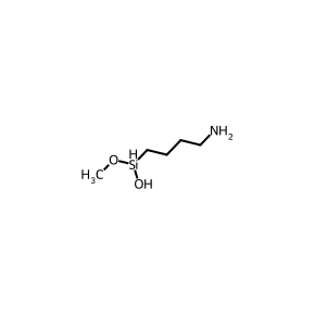 CO[SiH](O)CCCCN